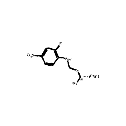 CCCCC[C@H](CC)SCNc1ccc([N+](=O)[O-])cc1F